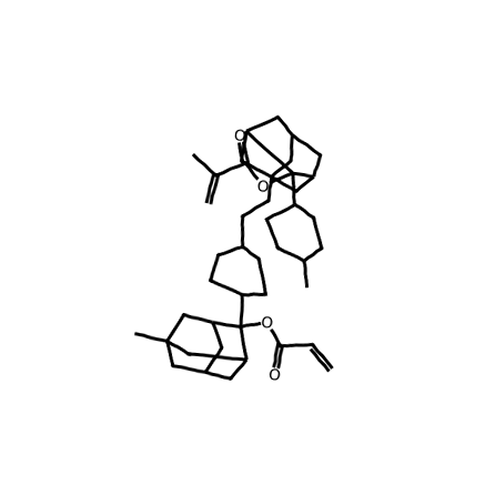 C=CC(=O)OC1(C2CCC(CCC34CC5CC(C3)C(OC(=O)C(=C)C)(C3CCC(C)CC3)C(C5)C4)CC2)C2CC3CC1CC(C)(C3)C2